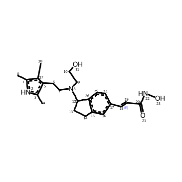 Cc1[nH]c(C)c(CCN(CCO)C2CCc3cc(/C=C/C(=O)NO)ccc32)c1C